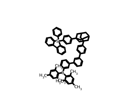 Cc1cc(C)c(B(c2cccc(-c3cccc(-c4ccc(C56CC7CC(C5)CC(c5ccc([Si]8(c9ccccc9)c9ccccc9-c9ccccc98)cc5)(C7)C6)cc4)c3)c2)c2c(C)cc(C)cc2C)c(C)c1